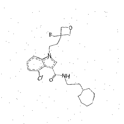 O=C(NCCC1CCCCCC1)c1cn(CCC2(F)COC2)c2cccc(Cl)c12